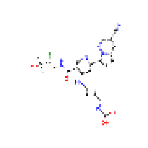 CC(C)(O)[C@H](F)CNC(=O)c1cnc(-c2ccc3cc(C#N)cnn23)cc1NC1CC(CNC(=O)O)C1